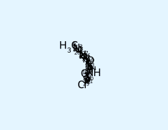 CN1CCC(N2CCN(C(=O)CN3CC[C@H](NC(=O)c4ccc(Cl)s4)C3)CC2)CC1